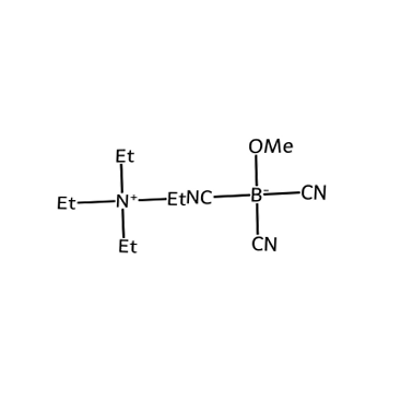 CC[N+](CC)(CC)CC.CO[B-](C#N)(C#N)C#N